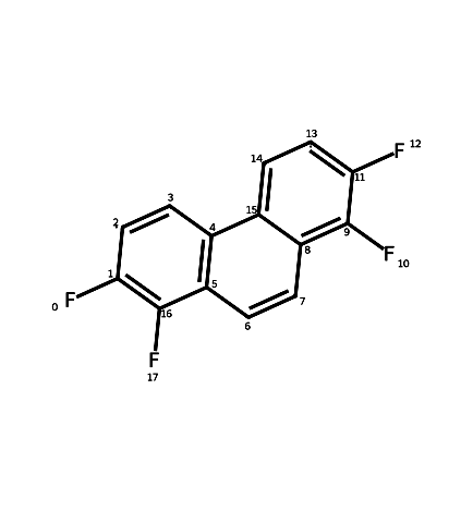 Fc1[c]cc2c(ccc3c(F)c(F)[c]cc32)c1F